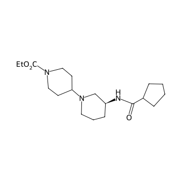 CCOC(=O)N1CCC(N2CCC[C@H](NC(=O)C3CCCC3)C2)CC1